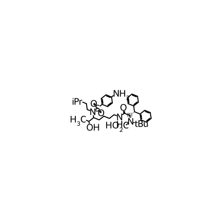 CC(C)CCN(C(CCCCNC(=O)[C@H](C(c1ccccc1)c1ccccc1)N(C(=O)O)C(C)(C)C)C(C)O)S(=O)(=O)c1ccc(N)cc1